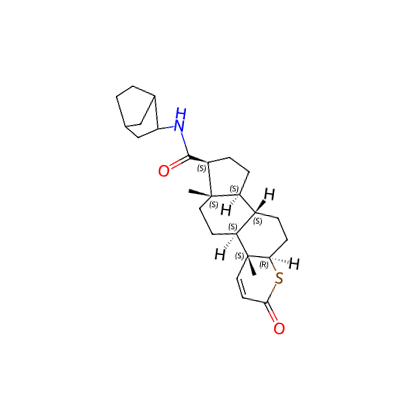 C[C@]12C=CC(=O)S[C@@H]1CC[C@@H]1[C@@H]2CC[C@]2(C)[C@@H](C(=O)NC3CC4CCC3C4)CC[C@@H]12